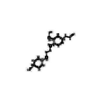 C=CCc1ccc(OCCOc2ccc(F)cc2)c(OC)c1